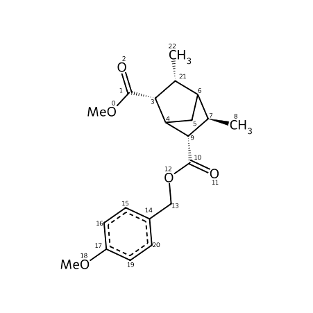 COC(=O)[C@H]1C2CC([C@@H](C)[C@@H]2C(=O)OCc2ccc(OC)cc2)[C@H]1C